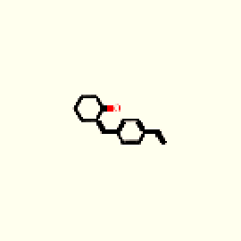 C=Cc1ccc(/C=C2/CCCCC2=O)cc1